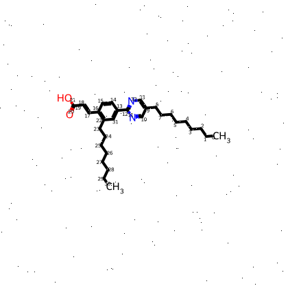 CCCCCCCCCc1cnc(-c2ccc(/C=C/C(=O)O)c(CCCCCCCC)c2)nc1